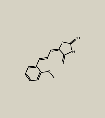 COc1ccccc1C=CC=C1SC(=N)NC1=O